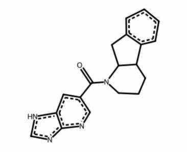 O=C(c1cnc2nc[nH]c2c1)N1CCCC2c3ccccc3CC21